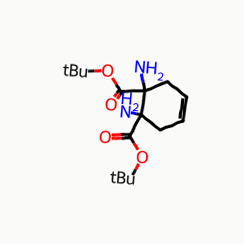 CC(C)(C)OC(=O)C1(N)CC=CCC1(N)C(=O)OC(C)(C)C